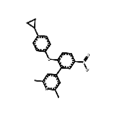 Cc1cc(-c2cc([N+](=O)[O-])ccc2Oc2ccc(C3CC3)cc2)cc(C)n1